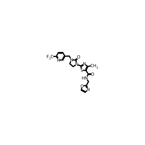 Cc1nc(N2CCN(Cc3ccc(C(F)(F)F)nc3)C2=O)sc1C(=O)NCc1ncco1